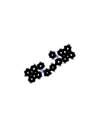 c1ccc(N(c2cccc(-c3ccc(-c4cccc(N(c5ccccc5)c5ccc6c(c5)C(c5ccccc5)(c5ccccc5)c5ccccc5-6)c4)cc3)c2)c2ccc3c(c2)C(c2ccccc2)(c2ccccc2)c2ccccc2-3)cc1